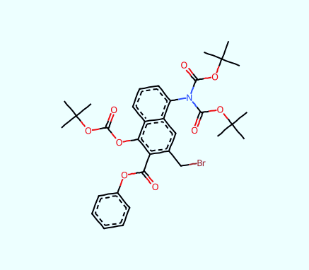 CC(C)(C)OC(=O)Oc1c(C(=O)Oc2ccccc2)c(CBr)cc2c(N(C(=O)OC(C)(C)C)C(=O)OC(C)(C)C)cccc12